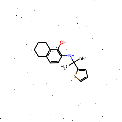 CCCC(C)(Nc1ccc2c(c1O)CCCC2)c1cccs1